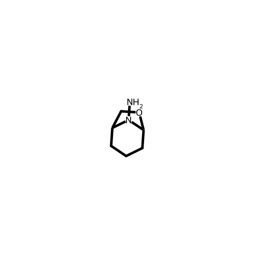 NN1C2CCCC1OC2